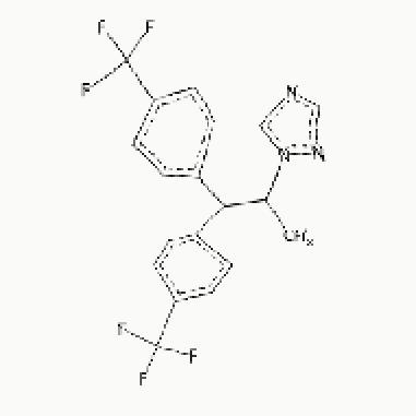 CC(C(c1ccc(C(F)(F)F)cc1)c1ccc(C(F)(F)F)cc1)n1cncn1